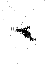 COc1ccc(S(=O)(=O)n2c(=O)n(C(C(=O)N3CCC(NCc4c[nH]cn4)C3)c3ccccc3)c3cc(C#N)ccc32)cc1